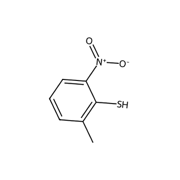 Cc1cccc([N+](=O)[O-])c1S